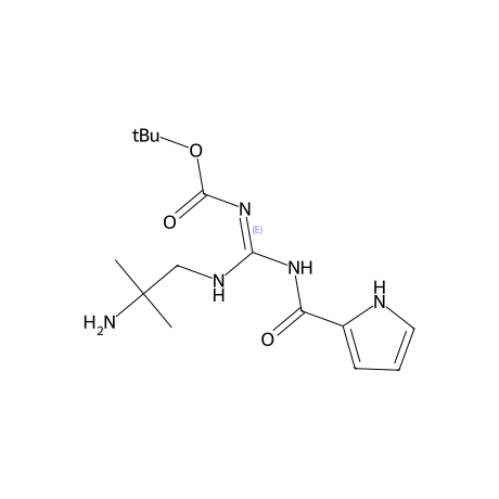 CC(C)(N)CN/C(=N\C(=O)OC(C)(C)C)NC(=O)c1ccc[nH]1